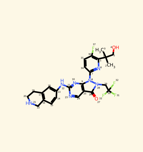 CC(C)(CO)c1nc(-n2c3nc(Nc4ccc5c(c4)CCNC5)ncc3c(=O)n2CC(F)(F)F)ccc1F